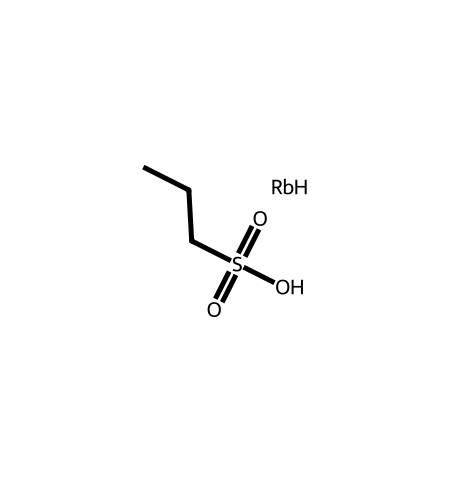 CCCS(=O)(=O)O.[RbH]